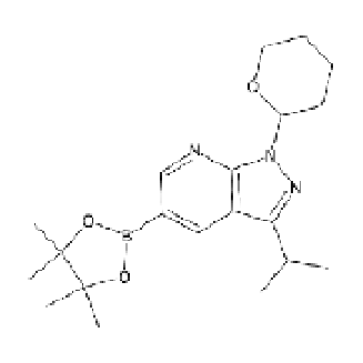 CC(C)c1nn(C2CCCCO2)c2ncc(B3OC(C)(C)C(C)(C)O3)cc12